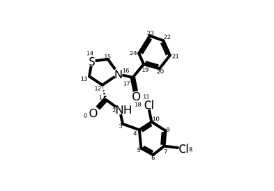 O=C(NCc1ccc(Cl)cc1Cl)[C@@H]1CSCN1C(=O)c1ccccc1